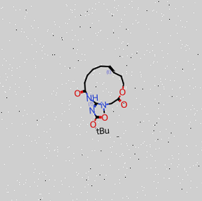 CN1CC(=O)OCC/C=C/CCCCC(=O)N/C1=N/C(=O)OC(C)(C)C